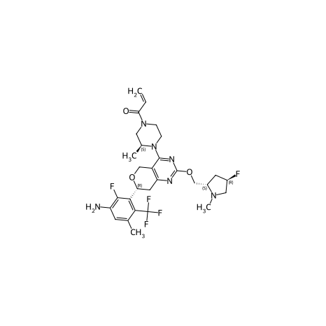 C=CC(=O)N1CCN(c2nc(OC[C@@H]3C[C@@H](F)CN3C)nc3c2CO[C@@H](c2c(F)c(N)cc(C)c2C(F)(F)F)C3)[C@@H](C)C1